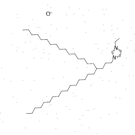 CCCCCCCCCCCCCCCCC(CCCCCCCCCCCCCCCC)CCC[n+]1ccn(CC)c1.[Cl-]